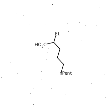 [CH2]CC(CCCCCCCC)C(=O)O